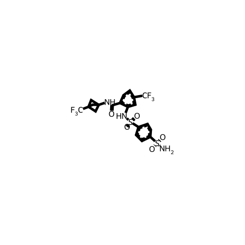 NS(=O)(=O)c1ccc(S(=O)(=O)Nc2cc(C(F)(F)F)ccc2C(=O)NC23CC(C(F)(F)F)(C2)C3)cc1